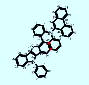 c1ccc(N(c2ccccc2-c2cccc3c2sc2c4ccccc4n(-c4ccccc4)c32)c2cc3ccccc3c3ccccc23)cc1